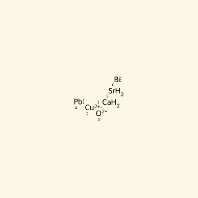 [Bi].[CaH2].[Cu+2].[O-2].[Pb].[SrH2]